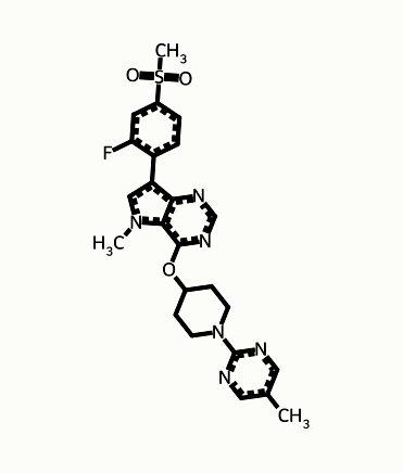 Cc1cnc(N2CCC(Oc3ncnc4c(-c5ccc(S(C)(=O)=O)cc5F)cn(C)c34)CC2)nc1